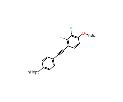 CCCCCCCc1ccc(C#Cc2ccc(OCCCC)c(F)c2F)cc1